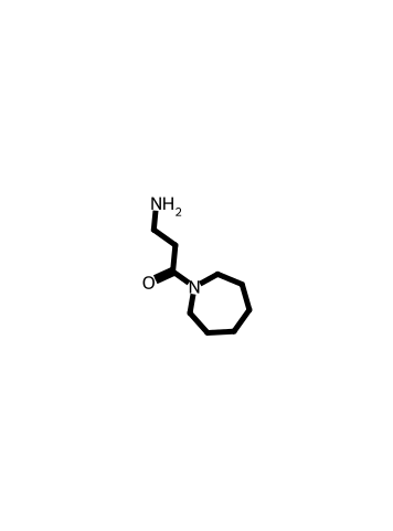 NCCC(=O)N1CCCCCC1